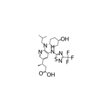 CC(C)CN(c1ncc([C@H](C)CC(=O)O)cc1Nc1nc(C(F)(F)F)ns1)[C@H]1CC[C@H](O)CC1